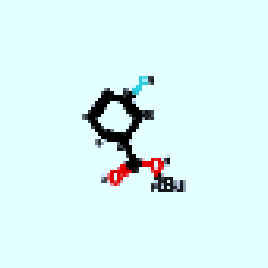 CC(C)(C)OC(=O)c1cccc(F)c1